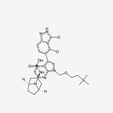 C[Si](C)(C)CCOCn1cc(-c2ccc3n[nH]c(Cl)c3c2Cl)c2ncc(N3[C@@H]4CC[C@H]3C[C@@H](NC(=O)O)C4)nc21